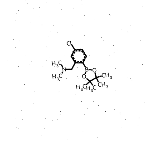 CN(C)Cc1cc(Cl)ccc1B1OC(C)(C)C(C)(C)O1